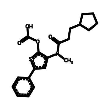 CN(C(=O)CCC1CCCC1)c1cc(-c2ccccc2)sc1OC(=O)O